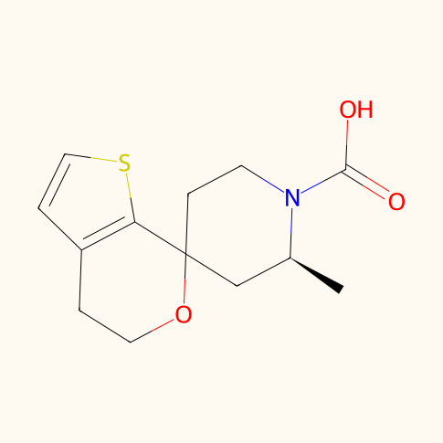 C[C@H]1CC2(CCN1C(=O)O)OCCc1ccsc12